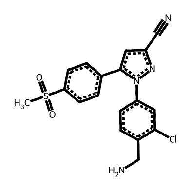 CS(=O)(=O)c1ccc(-c2cc(C#N)nn2-c2ccc(CN)c(Cl)c2)cc1